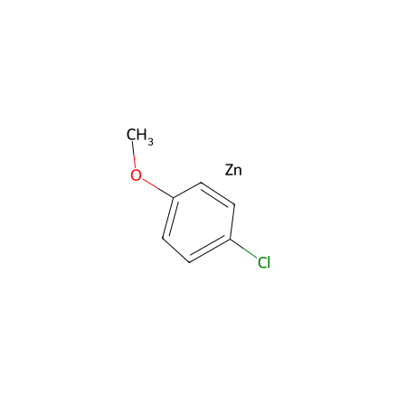 COc1ccc(Cl)cc1.[Zn]